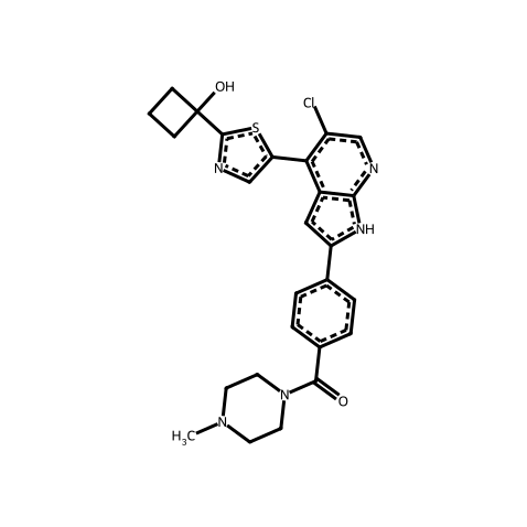 CN1CCN(C(=O)c2ccc(-c3cc4c(-c5cnc(C6(O)CCC6)s5)c(Cl)cnc4[nH]3)cc2)CC1